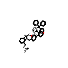 CCOc1nc2cccc(CO[N+](=O)[O-])c2n1Cc1ccc(-c2ccccc2-c2nnnn2C(c2ccccc2)(c2ccccc2)c2ccccc2)cc1